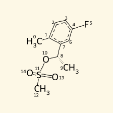 Cc1ccc(F)cc1[C@H](C)OS(C)(=O)=O